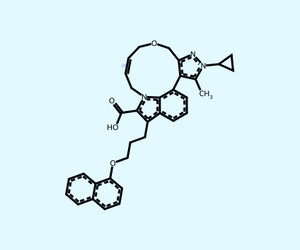 Cc1c2c(nn1C1CC1)COC/C=C\Cn1c(C(=O)O)c(CCCOc3cccc4ccccc34)c3cccc-2c31